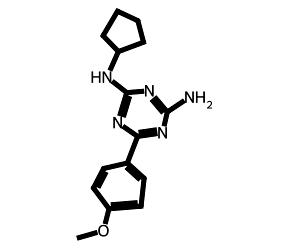 COc1ccc(-c2nc(N)nc(NC3CCCC3)n2)cc1